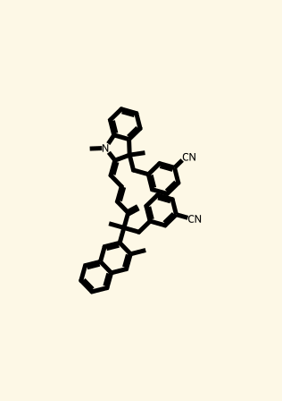 C=C(/C=C/C=C1/N(C)c2ccccc2C1(C)Cc1cccc(C#N)c1)C(C)(Cc1cccc(C#N)c1)c1cc2ccccc2cc1C